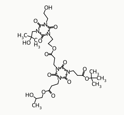 CC(O)COC(=O)CCn1c(=O)n(CCC(=O)OCCn2c(=O)n(CCO)c(=O)n(CC(C)(C)O)c2=O)c(=O)n(CCC(=O)OC(C)(C)C)c1=O